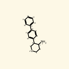 NC1CCOCC1c1ccc(-c2ccccc2)cc1